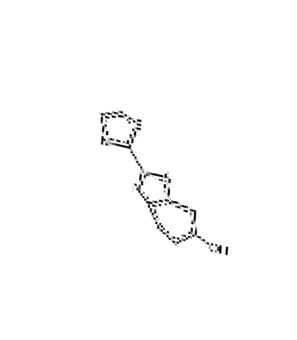 Oc1ccc2nc(-c3nccs3)sc2c1